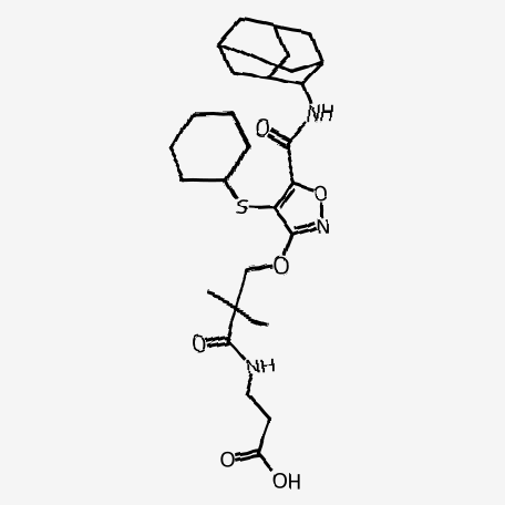 CC(C)(COc1noc(C(=O)NC2C3CC4CC(C3)CC2C4)c1SC1CCCCC1)C(=O)NCCC(=O)O